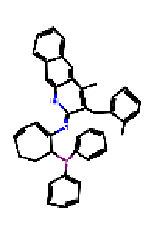 Cc1ccccc1Cc1c(C)c2cc3ccccc3cc2[nH]/c1=N\C1=CC=CCCC1P(c1ccccc1)c1ccccc1